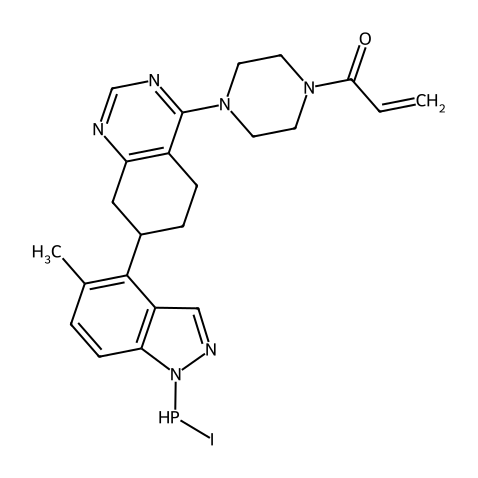 C=CC(=O)N1CCN(c2ncnc3c2CCC(c2c(C)ccc4c2cnn4PI)C3)CC1